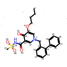 CCCCOc1cn(Cc2ccccc2-c2ccccc2)cc(C(=O)NS(C)(=O)=O)c1=O